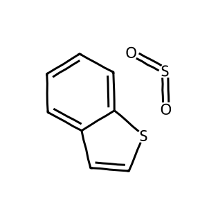 O=S=O.c1ccc2sccc2c1